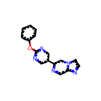 c1ccc(Oc2ncc(-c3cn4ccnc4cn3)cn2)cc1